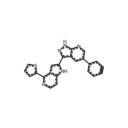 c1ccc(-c2cnc3[nH]nc(-c4cc5c(-c6cccs6)nccc5[nH]4)c3c2)cc#1